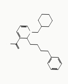 O=C(O)C1=CC=CN(CC2CCCCC2)C1CCCCc1ccccc1